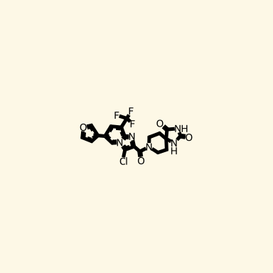 O=C1NC(=O)C2(CCN(C(=O)c3nc4c(C(F)(F)F)cc(-c5ccoc5)cn4c3Cl)CC2)N1